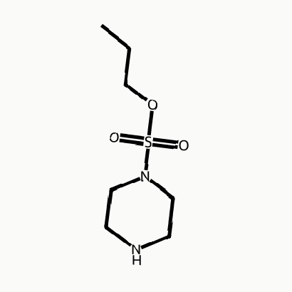 CCCOS(=O)(=O)N1CCNCC1